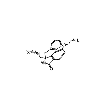 [N-]=[N+]=NCC1(Cc2ccccc2)NC(=O)c2ccc(OCCN)cc21